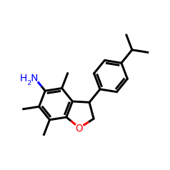 Cc1c(C)c2c(c(C)c1N)C(c1ccc(C(C)C)cc1)CO2